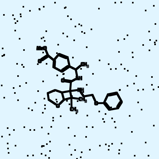 COC(=O)c1ccc(C(C)NC(=O)C2(NCCOc3ccccc3)C3CCCOC3C2(C)C)cc1